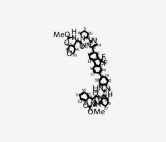 COC(=O)NC(C(=O)N1CCC[C@H]1c1ncc(-c2ccc3c(c2)C(F)(F)c2cc(-c4ccc5nc([C@@H]6[C@H]7CC[C@H](C7)N6C(=O)[C@H](NC(=O)OC)c6ccccc6)[nH]c5c4)ccc2-3)[nH]1)C1CCOCC1